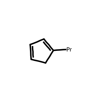 [Pr][C]1=CC=CC1